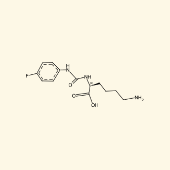 NCCCC[C@H](NC(=O)Nc1ccc(F)cc1)C(=O)O